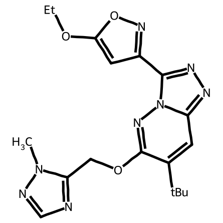 CCOc1cc(-c2nnc3cc(C(C)(C)C)c(OCc4ncnn4C)nn23)no1